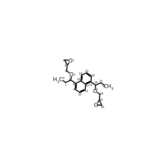 CCC(OCC1CO1)c1cccc2c(C(CC)OCC3CO3)cccc12